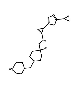 FC1(CNC2CC2c2ccc(C3CC3)s2)CCN(CC2CCNCC2)CC1